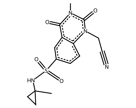 Cn1c(=O)c2cc(S(=O)(=O)NC3(C)CC3)ccc2n(CC#N)c1=O